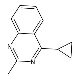 Cc1nc(C2CC2)c2ccccc2n1